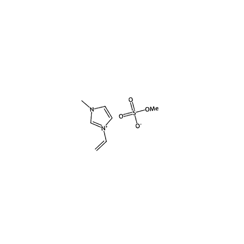 C=C[n+]1ccn(C)c1.COS(=O)(=O)[O-]